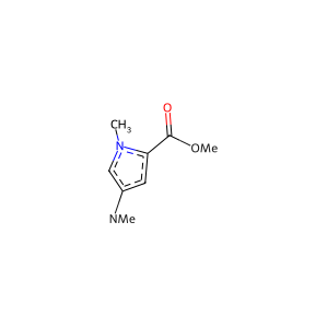 CNc1cc(C(=O)OC)n(C)c1